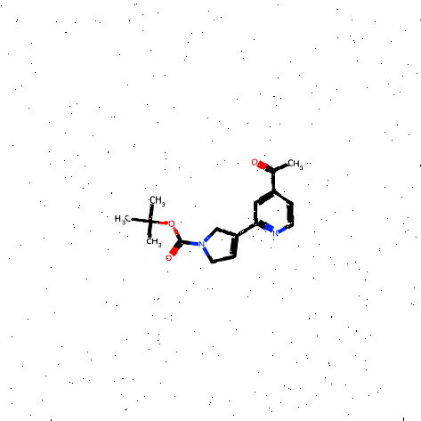 CC(=O)c1ccnc(C2=CCN(C(=O)OC(C)(C)C)C2)c1